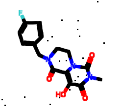 Cn1c(=O)c(O)c2n(c1=O)CCN(Cc1ccc(F)cc1)C2=O